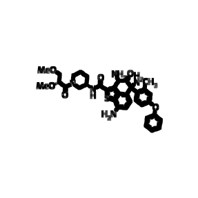 COC[C@@H](OC)C(=O)N1CCC[C@@H](NC(=O)c2sc3c(N)ccc4c3c2C(N)C(=O)C4(N)c2ccc(Oc3ccccc3)cc2C)C1